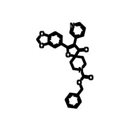 O=C(OCc1ccccc1)N1CCC2(CC1)OC(c1ccc3c(c1)OCO3)=C(c1cccnc1)C2=O